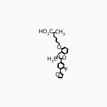 CC(CC=CCOc1ccccc1CN(C)C(=O)c1ccc(-c2ccco2)c(F)c1)C(=O)O